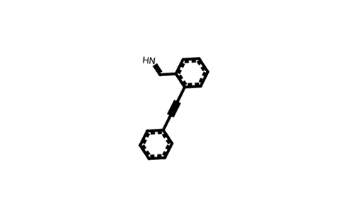 N=Cc1ccccc1C#Cc1ccccc1